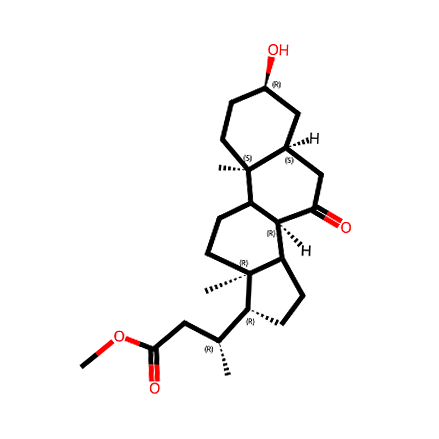 COC(=O)C[C@@H](C)[C@H]1CCC2[C@@H]3C(=O)C[C@@H]4C[C@H](O)CC[C@]4(C)C3CC[C@@]21C